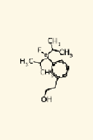 CC(C)[Si](F)(c1cccc(CCO)c1)C(C)C